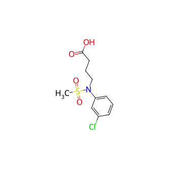 CS(=O)(=O)N(CCCC(=O)O)c1cccc(Cl)c1